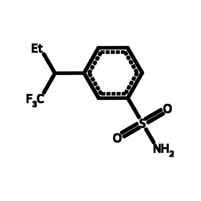 CCC(c1cccc(S(N)(=O)=O)c1)C(F)(F)F